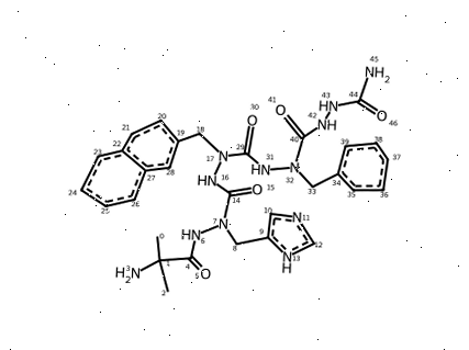 CC(C)(N)C(=O)NN(Cc1cnc[nH]1)C(=O)NN(Cc1ccc2ccccc2c1)C(=O)NN(Cc1ccccc1)C(=O)NNC(N)=O